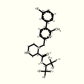 Cc1nc(CN2CCNCC2C(=O)OC(C(F)(F)F)C(F)(F)F)ccc1-c1cccc(F)c1